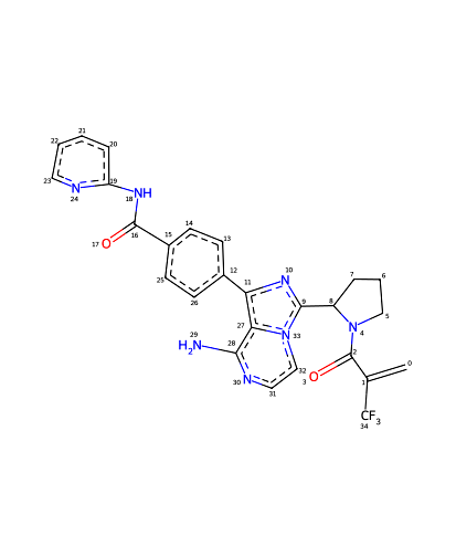 C=C(C(=O)N1CCCC1c1nc(-c2ccc(C(=O)Nc3ccccn3)cc2)c2c(N)nccn12)C(F)(F)F